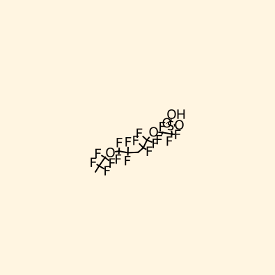 CC(F)(F)C(F)(F)OC(F)(F)C(F)(F)CC(F)(F)C(F)(F)OC(F)(F)C(F)(F)S(=O)(=O)O